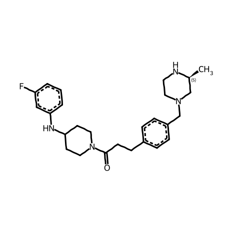 C[C@H]1CN(Cc2ccc(CCC(=O)N3CCC(Nc4cccc(F)c4)CC3)cc2)CCN1